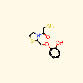 O=C(CS)N1CCSC1COc1ccccc1O